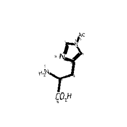 CC(=O)n1cnc(CC(N)C(=O)O)c1